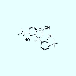 CC(C)(C)c1cccc(C(C)(CC(=O)O)c2cccc(C(C)(C)C)c2O)c1O